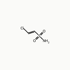 NS(=O)(=O)C=CCl